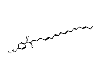 CCC=CCC=CCC=CCC=CCC=CCCCC(=O)Nc1ccc(CN)cc1